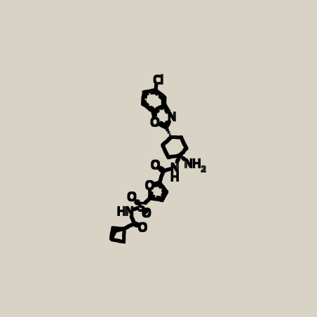 N[C@]1(NC(=O)c2ccc(S(=O)(=O)NC(=O)C34CC(C3)C4)o2)CC[C@@H](c2nc3cc(Cl)ccc3o2)CC1